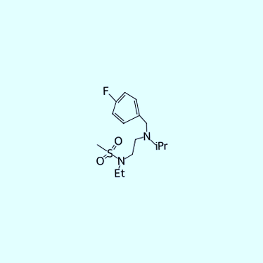 CCN(CCN(Cc1ccc(F)cc1)C(C)C)S(C)(=O)=O